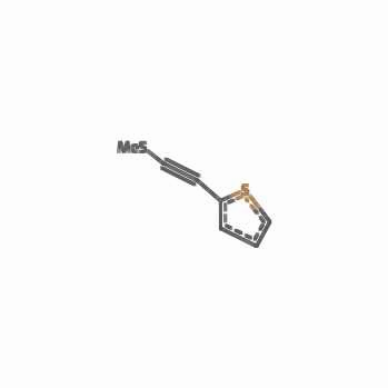 CSC#Cc1cccs1